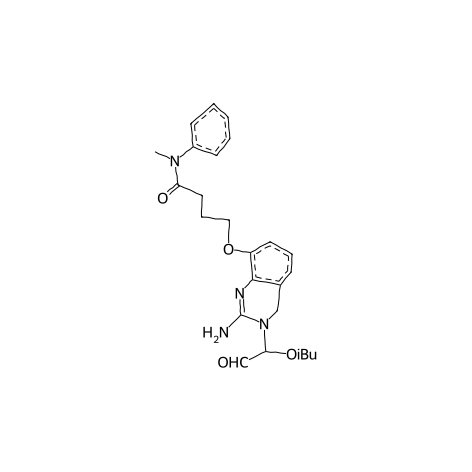 CC(C)COC(C=O)N1Cc2cccc(OCCCC(=O)N(C)c3ccccc3)c2N=C1N